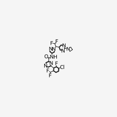 O=C(Nc1cnn(C(c2cnc(N3CCC3)nc2)C(F)F)c1)c1cncc(-c2c(C(F)F)ccc(Cl)c2F)n1